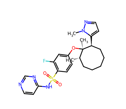 C[C@H]1CCCCC[C@H](c2ccnn2C)[C@]1(C)Oc1ccc(S(=O)(=O)Nc2ccncn2)c(F)c1